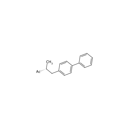 CC(=O)[C@H](C)Cc1ccc(-c2ccccc2)cc1